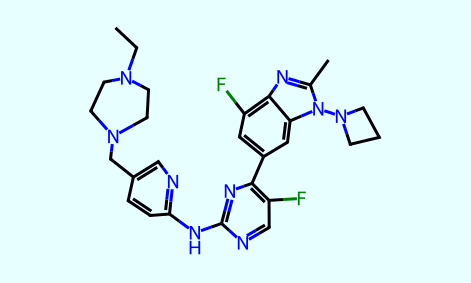 CCN1CCN(Cc2ccc(Nc3ncc(F)c(-c4cc(F)c5nc(C)n(N6CCC6)c5c4)n3)nc2)CC1